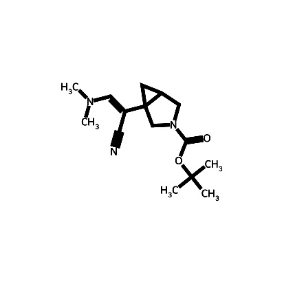 CN(C)C=C(C#N)C12CC1CN(C(=O)OC(C)(C)C)C2